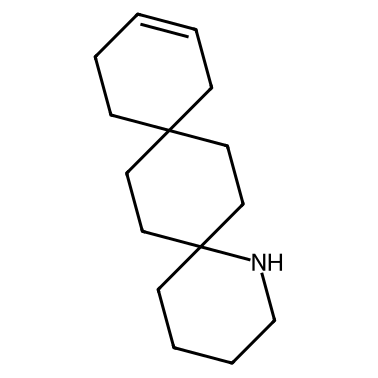 C1=CCC2(CC1)CCC1(CCCCN1)CC2